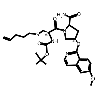 C=CCCCSC[C@H](NC(=O)OC(C)(C)C)C(=O)N1C[C@H](Oc2nccc3cc(OC)ccc23)CC1C(N)=O